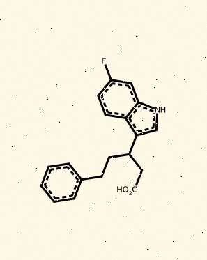 O=C(O)CC(CCc1ccccc1)c1c[nH]c2cc(F)ccc12